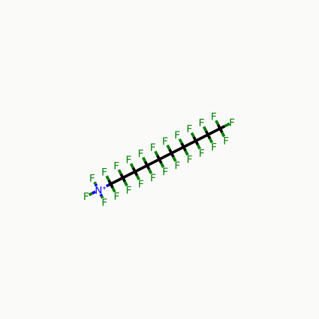 FC(F)(F)C(F)(F)C(F)(F)C(F)(F)C(F)(F)C(F)(F)C(F)(F)C(F)(F)C(F)(F)C(F)(F)[N+](F)(F)F